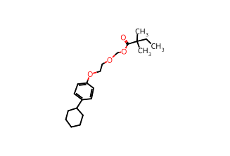 CCC(C)(C)C(=O)OCOCCOc1ccc(C2CCCCC2)cc1